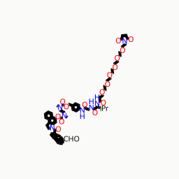 CC(C)C(NC(=O)CCOCCOCCOCCOCCOCCOCCN1C(=O)C=CC1=O)C(=O)NCC(=O)Nc1ccc(COC(=O)N(C)CCN(C)C(=O)Oc2cc3c(c4ccccc24)CCN3C(=O)C23C4C5C6(C=O)C7C2C32C7C56C42)cc1